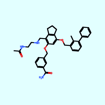 CC(=O)NCCNCc1c(OCc2cccc(C(N)=O)c2)cc(OCc2cccc(-c3ccccc3)c2C)c2c1CCC2